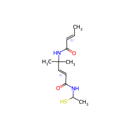 C/C=C/C(=O)NC(C)(C)/C=C/C(=O)NC(C)S